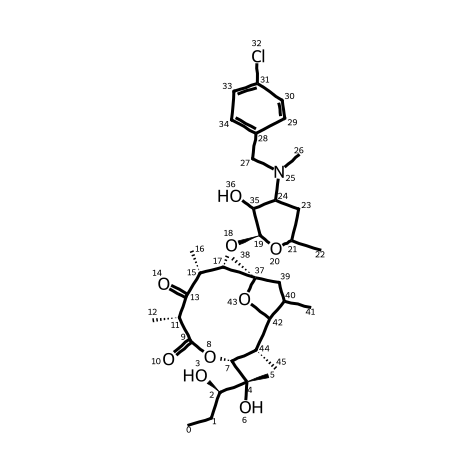 CC[C@@H](O)[C@@](C)(O)[C@@H]1OC(=O)[C@H](C)C(=O)[C@H](C)[C@H](O[C@@H]2OC(C)CC(N(C)Cc3ccc(Cl)cc3)C2O)[C@@]2(C)CC(C)C(O2)[C@@H]1C